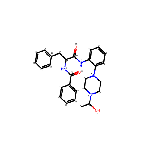 CC(O)N1CCN(c2ccccc2NC(=O)C(Cc2ccccc2)NC(=O)c2ccccc2)CC1